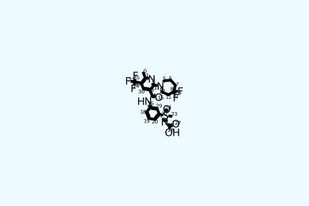 Cc1nc(N2CCCC(F)(F)CC2)c(C(=O)Nc2cccc(S(C)(=O)=NC(=O)O)c2)cc1C(F)(F)F